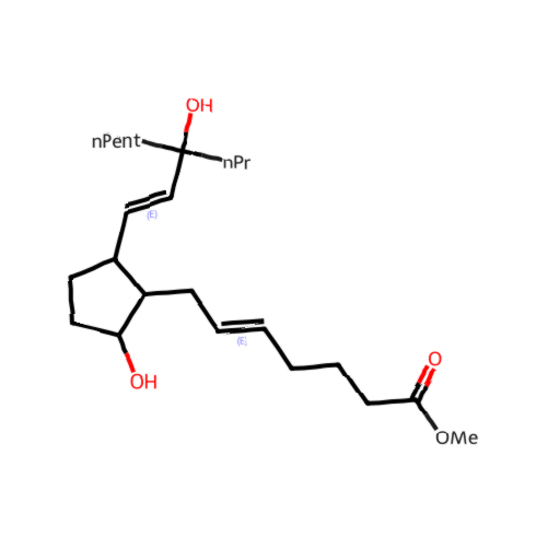 CCCCCC(O)(/C=C/C1CCC(O)C1C/C=C/CCCC(=O)OC)CCC